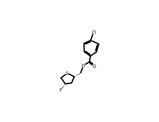 O=C(OC[C@@H]1C[C@H](F)CS1)c1ccc(Cl)cc1